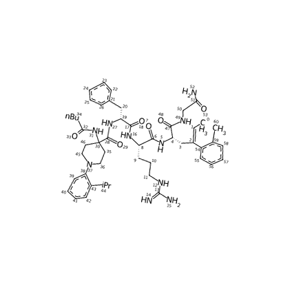 C/C=C(/C[C@H](NC(=O)[C@H](CCCNC(=N)N)NC(=O)[C@@H](Cc1ccccc1)NC(=O)C1(NC(=O)CCCC)CCN(c2ccccc2C(C)C)CC1)C(=O)NCC(N)=O)c1ccccc1C